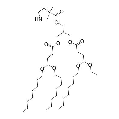 CCCCCCCCOC(CCC(=O)OCC(COC(=O)CCC(OCCCCCCCC)OCCCCCCCC)COC(=O)C1(C)CCNC1)OCC